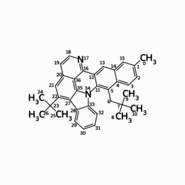 Cc1ccc2c(CC(C)(C)C)c3c(cc2c1)c1nccc2cc(C(C)(C)C)c4c5ccccc5n3c4c21